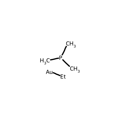 CP(C)C.C[CH2][Au]